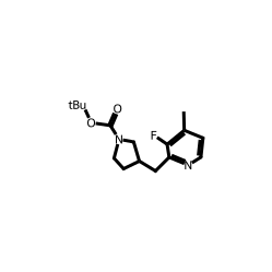 Cc1ccnc(CC2CCN(C(=O)OC(C)(C)C)C2)c1F